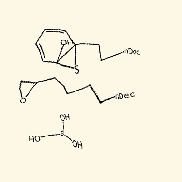 CCCCCCCCCCCCC12C=CC=CC1(O)S2.CCCCCCCCCCCCCCC1CO1.OB(O)O